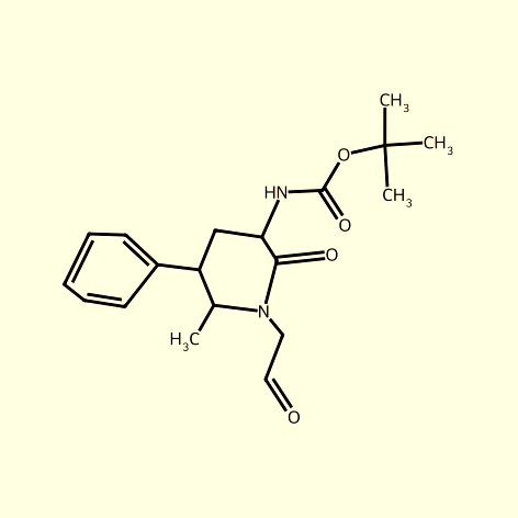 CC1C(c2ccccc2)CC(NC(=O)OC(C)(C)C)C(=O)N1CC=O